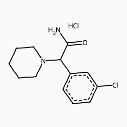 Cl.NC(=O)C(c1cccc(Cl)c1)N1CCCCC1